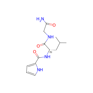 CC(C)C[C@H](NC(=O)c1ccc[nH]1)C(=O)NCC(N)=O